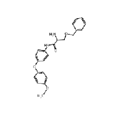 COc1ccc(Oc2ccc(NC(=O)C(N)COCc3ccccc3)cc2)cc1